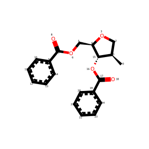 C[C@@H]1CO[C@H](COC(=O)c2ccccc2)[C@H]1OC(=O)c1ccccc1